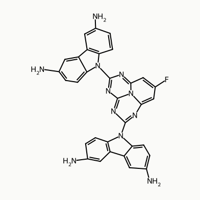 Nc1ccc2c(c1)c1cc(N)ccc1n2C1=NC2=CC(F)=CC3=NC(n4c5ccc(N)cc5c5cc(N)ccc54)=NC(=N1)N23